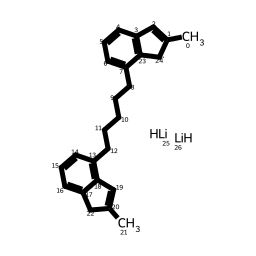 CC1=Cc2cccc(CCCCCc3cccc4c3C=C(C)C4)c2[CH]1.[LiH].[LiH]